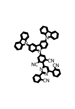 N#Cc1ccccc1-c1cc(-c2c(C#N)cc(-n3c4ccc(-n5c6ccccc6c6ccccc65)cc4c4cc(-n5c6ccccc6c6ccccc65)ccc43)cc2C#N)nc(-c2ccccc2C#N)n1